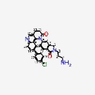 NCCCN1Cc2cc(-n3c(=O)ccc4cnc5ccc(-c6ccc(Cl)cc6)cc5c43)ccc2C1=O